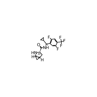 O=C(N[C@@H](c1cc(F)c(C(F)(F)F)cc1F)C1CC1)[C@H]1C[C@H]2C[C@H]2N1